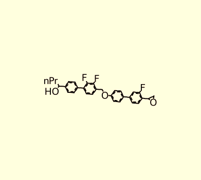 CCCC(O)c1ccc(-c2ccc(COc3ccc(-c4ccc(C5CO5)c(F)c4)cc3)c(F)c2F)cc1